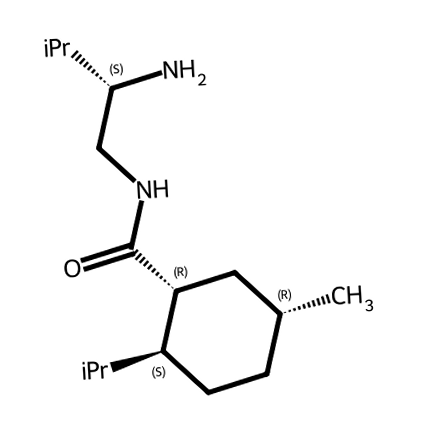 CC(C)[C@H](N)CNC(=O)[C@@H]1C[C@H](C)CC[C@H]1C(C)C